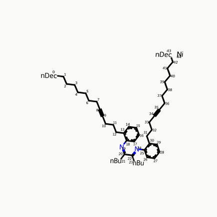 CCCCCCCCCCCCCCCCCC#CCCCc1ccccc1N=C(CCCC)C(CCCC)=Nc1ccccc1CCCC#CCCCCCCCCCCCCCCCCC.[Ni]